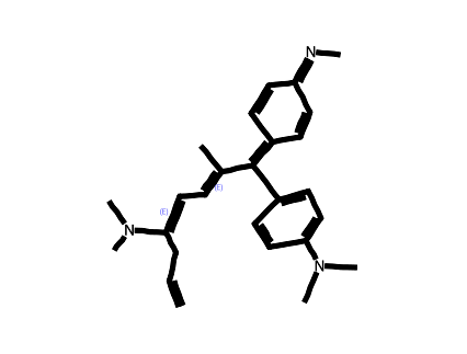 C=CC/C(=C\C=C(/C)C(=C1C=CC(=NC)C=C1)c1ccc(N(C)C)cc1)N(C)C